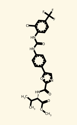 COC(=O)[C@@H](NC(=O)c1ncc(-c2ccc(NC(=O)Nc3ccc(C(F)(F)F)cc3Cl)cc2)o1)C(C)C